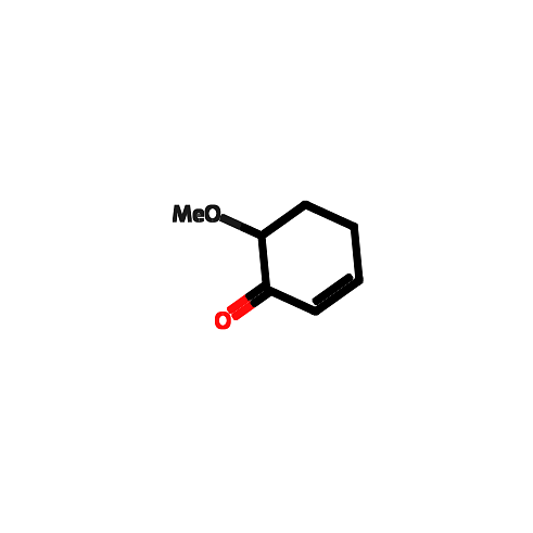 COC1CCC=CC1=O